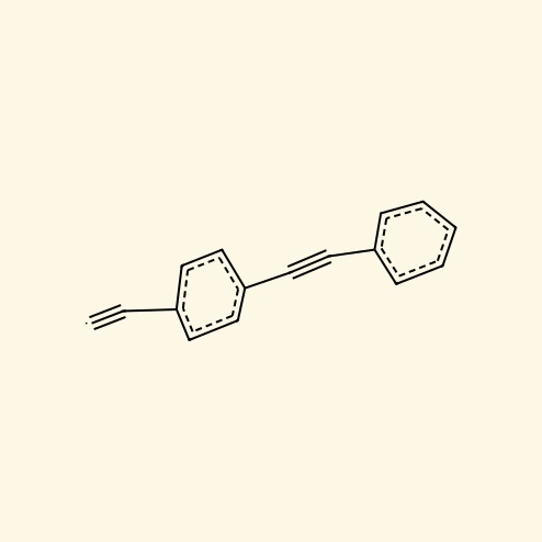 [C]#Cc1ccc(C#Cc2ccccc2)cc1